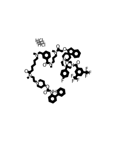 CN(CCCCCC(=O)N(C)CCN1CCC(OC(=O)Nc2ccccc2-c2ccccc2)CC1)Cc1cccc(C(=O)N(C)CCCN(C)C(=O)CO[C@H]2Cc3ccccc3C23CCN(CC[C@@]2(c4ccc(F)cc4)CN(C(=O)c4cc(C(F)(F)F)cc(C(F)(F)F)c4)CO2)CC3)c1.Cl.Cl.Cl